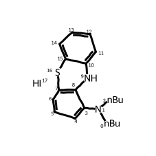 CCCCN(CCCC)c1cccc2c1Nc1ccccc1S2.I